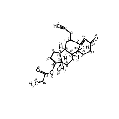 C#CCC1C[C@@H]2[C@@H](CC[C@]3(C)C(OC(=O)CC)CC[C@@H]23)[C@@]2(C)CCC(=O)C=C12